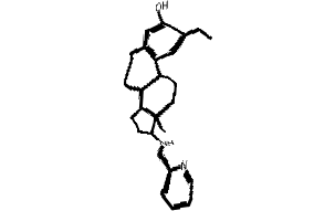 CCc1cc2c(cc1O)CCC1C2CCC2(C)C(NCc3ccccn3)CCC12